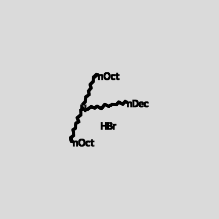 Br.CCCCCCCC/C=C\CCCCCCCCN(CCCCCCCC/C=C\CCCCCCCC)CCCCCCCCCCCCCCCCCCCCCC